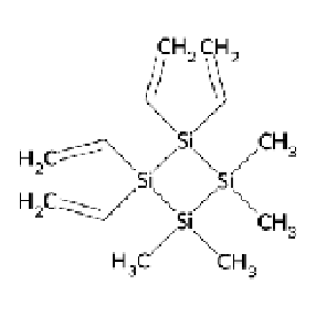 C=C[Si]1(C=C)[Si](C)(C)[Si](C)(C)[Si]1(C=C)C=C